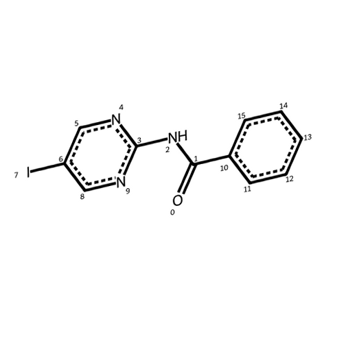 O=C(Nc1ncc(I)cn1)c1ccccc1